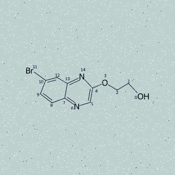 OCCOc1cnc2ccc(Br)cc2n1